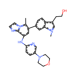 Cc1c(-c2ccc3c(CCO)cn(C)c3c2)cc(Nc2ccc(N3CCOCC3)cn2)c2nccn12